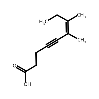 CCC(C)=C(C)C#CCCC(=O)O